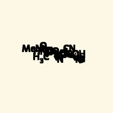 CNC(=O)Nc1ccc(Oc2ccnc3cc(OC[C@H](O)CN4CCCC4)c(C#N)cc23)cc1C